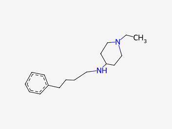 CCN1CCC(NCCCCc2ccccc2)CC1